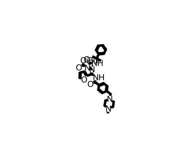 CC(C)COC(=O)[N+]1(C(=O)NC(C)(C)c2ccccc2)N=C(NC(=O)c2ccc(CN3CCN(C)CC3)cc2)c2occc21